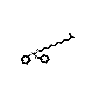 CC(C)CCCCCCCCCOP(Oc1ccccc1)Oc1ccccc1